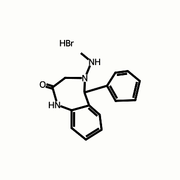 Br.CNN1CC(=O)Nc2ccccc2C1c1ccccc1